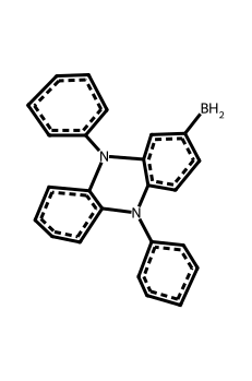 Bc1ccc2c(c1)N(c1ccccc1)c1ccccc1N2c1ccccc1